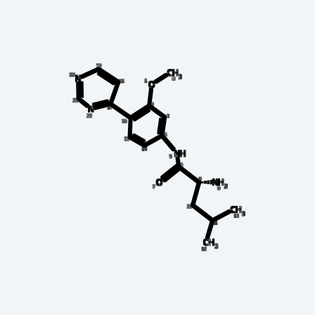 COc1cc(NC(=O)[C@H](N)CC(C)C)ccc1-c1ccncn1